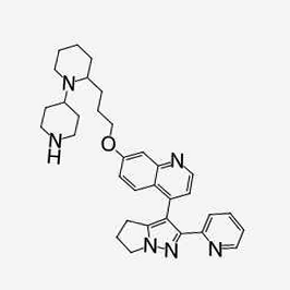 c1ccc(-c2nn3c(c2-c2ccnc4cc(OCCCC5CCCCN5C5CCNCC5)ccc24)CCC3)nc1